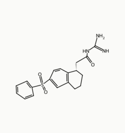 N=C(N)NC(=O)C[C@@H]1CCCc2cc(S(=O)(=O)c3ccccc3)ccc21